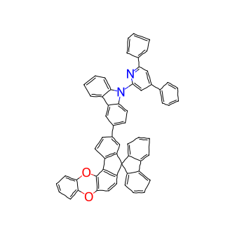 c1ccc(-c2cc(-c3ccccc3)nc(-n3c4ccccc4c4cc(-c5ccc6c(c5)C5(c7ccccc7-c7ccccc75)c5ccc7c(c5-6)Oc5ccccc5O7)ccc43)c2)cc1